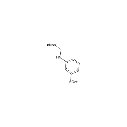 CCCCCCCCCCNc1cccc(CCCCCCCC)c1